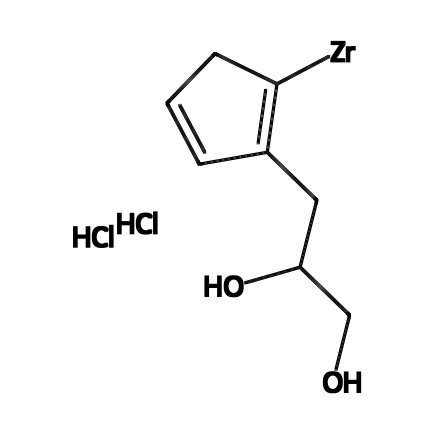 Cl.Cl.OCC(O)CC1=[C]([Zr])CC=C1